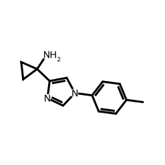 Cc1ccc(-n2cnc(C3(N)CC3)c2)cc1